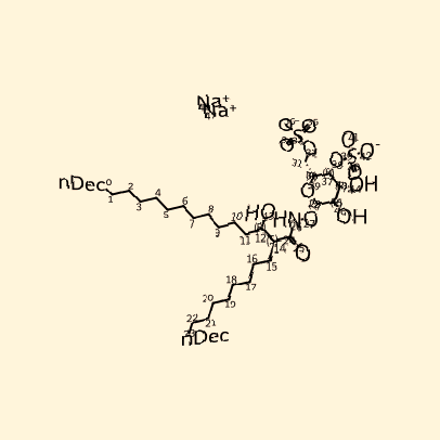 CCCCCCCCCCCCCCCCCCCCC[C@@H](O)[C@H](CCCCCCCCCCCCCCCCCC)C(=O)NO[C@@H]1O[C@H](COS(=O)(=O)[O-])[C@H](OS(=O)(=O)[O-])[C@H](O)[C@H]1O.[Na+].[Na+]